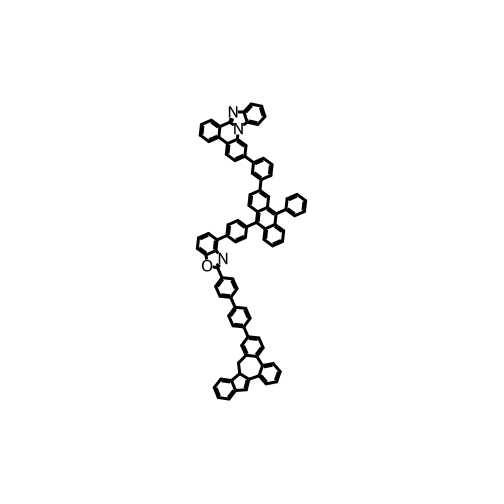 C1=C2c3ccccc3-c3ccc(-c4ccc(-c5ccc(-c6nc7c(-c8ccc(-c9c%10ccccc%10c(-c%10ccccc%10)c%10cc(-c%11cccc(-c%12ccc%13c%14ccccc%14c%14nc%15ccccc%15n%14c%13c%12)c%11)ccc9%10)cc8)cccc7o6)cc5)cc4)cc3CC2c2ccccc21